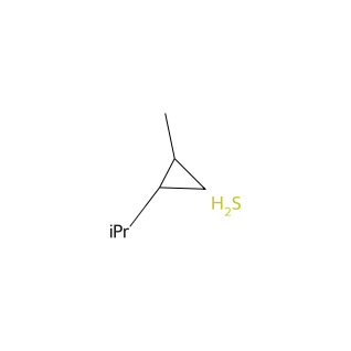 CC(C)C1CC1C.S